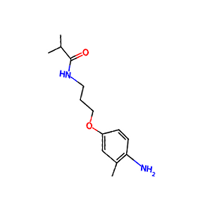 Cc1cc(OCCCNC(=O)C(C)C)ccc1N